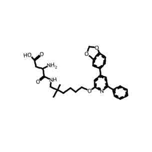 CC(C)(CCCCOc1cc(-c2ccc3c(c2)OCO3)cc(-c2ccccc2)n1)CNC(=O)C(N)CC(=O)O